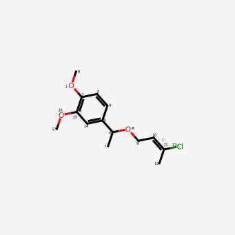 COc1ccc(C(C)OC/C=C(\C)Cl)cc1OC